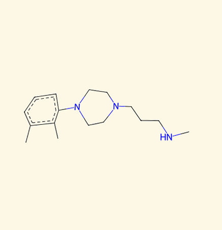 CNCCCN1CCN(c2cccc(C)c2C)CC1